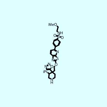 COCCNS(=O)(=O)c1ccc(-c2ccc3nc(OCCC4(c5cnno5)CCNCC4C(C)C)sc3n2)cc1